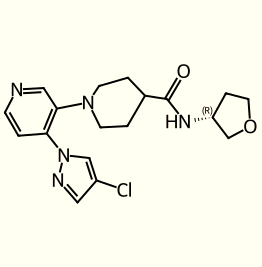 O=C(N[C@@H]1CCOC1)C1CCN(c2cnccc2-n2cc(Cl)cn2)CC1